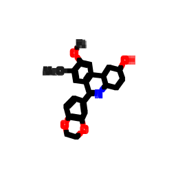 CCOc1cc2c(cc1OC)C(c1ccc3c(c1)OCCO3)=NC1CCC(O)CC21